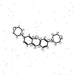 C1=CC(N2CCOCC2)C=C2Oc3cc(N4CCOCC4)ccc3C=C12